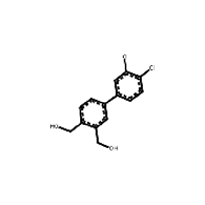 OCc1ccc(-c2ccc(Cl)c(Cl)c2)cc1CO